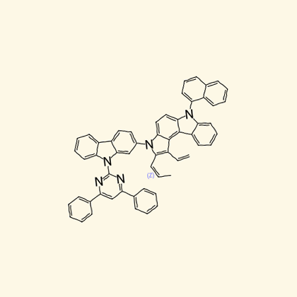 C=Cc1c(/C=C\C)n(-c2ccc3c4ccccc4n(-c4nc(-c5ccccc5)cc(-c5ccccc5)n4)c3c2)c2ccc3c(c4ccccc4n3-c3cccc4ccccc34)c12